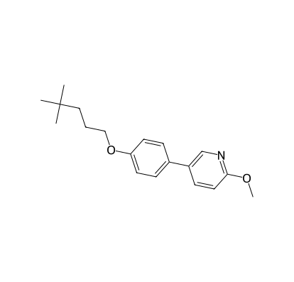 COc1ccc(-c2ccc(OCCCC(C)(C)C)cc2)cn1